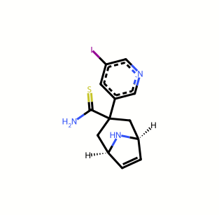 NC(=S)C1(c2cncc(I)c2)C[C@H]2C=C[C@@H](C1)N2